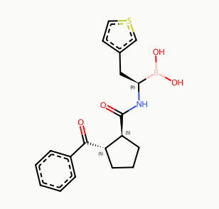 O=C(N[C@@H](Cc1ccsc1)B(O)O)[C@H]1CCC[C@@H]1C(=O)c1ccccc1